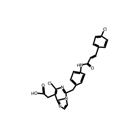 O=C(O)Cc1c(Cl)nc(Cc2ccc(NC(=O)C=Cc3ccc(Cl)cc3)cc2)n2ccnc12